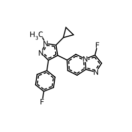 Cn1nc(-c2ccc(F)cc2)c(-c2ccc3ncc(F)n3c2)c1C1CC1